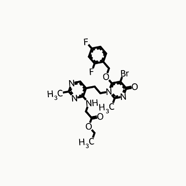 CCOC(=O)CNc1nc(C)ncc1CCn1c(C)nc(=O)c(Br)c1OCc1ccc(F)cc1F